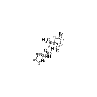 C[C@H]1CN(CC(=O)Nc2ncccn2)C(=O)c2ccc(Br)cc21